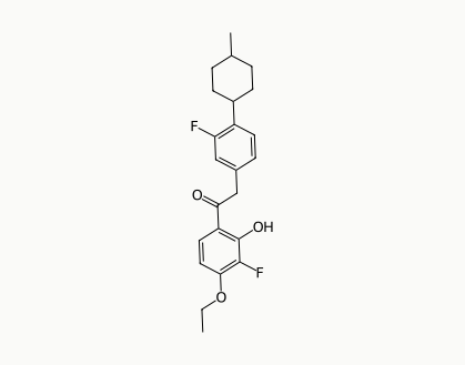 CCOc1ccc(C(=O)Cc2ccc(C3CCC(C)CC3)c(F)c2)c(O)c1F